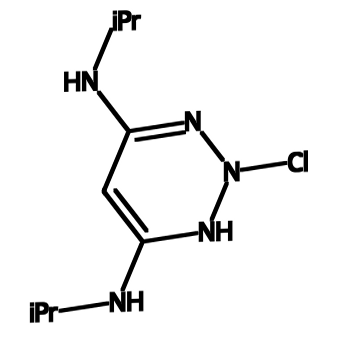 CC(C)NC1=CC(NC(C)C)=NN(Cl)N1